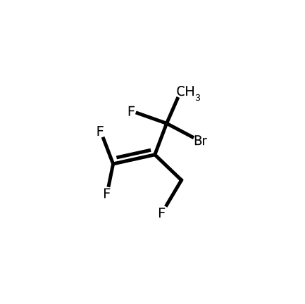 CC(F)(Br)C(CF)=C(F)F